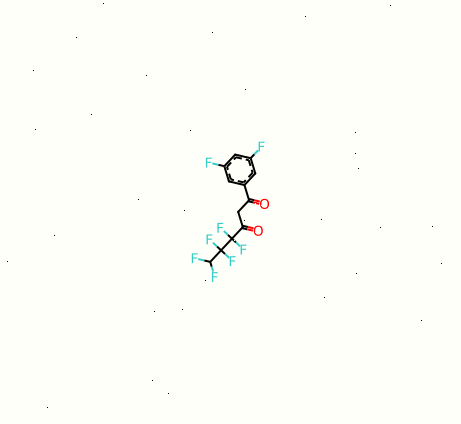 O=C(CC(=O)C(F)(F)C(F)(F)C(F)F)c1cc(F)cc(F)c1